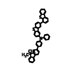 CC1(C)c2ccccc2-c2ccc(-c3ccc(N(c4ccccc4)c4ccc5sc6ccc(-c7cccc8c7sc7ccccc78)cc6c5c4)cc3)cc21